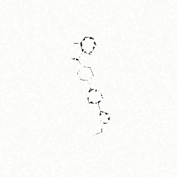 O=C(O)Cn1nnc(-c2cnc(N3CCN(C(=O)c4ccccc4C(F)(F)F)CC3)nc2)n1